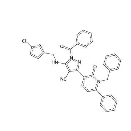 N#Cc1c(-c2ccc(-c3ccccc3)n(Cc3ccccc3)c2=O)nn(C(=O)c2ccccc2)c1NCc1ccc(Cl)s1